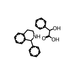 O=C(O)C(O)c1ccccc1.c1ccc(C2NCCc3ccccc32)cc1